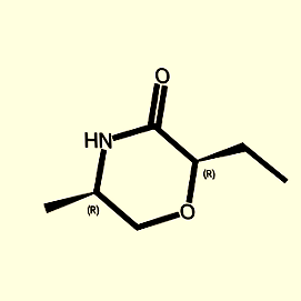 CC[C@H]1OC[C@@H](C)NC1=O